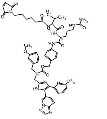 COc1cccc(CN(Cc2nc(-c3cccc(C)n3)c(-c3ccc4ncnn4c3)[nH]2)C(=O)OCc2ccc(NC(=O)[C@H](CCCNC(N)=O)NC(=O)C(NC(=O)CCCCCN3C(=O)C=CC3=O)C(C)C)cc2)c1